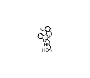 CCc1cccc2c1C(c1ccccc1)N(C(=O)CNC[C@@H](C)O)CC2